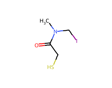 CN(CI)C(=O)CS